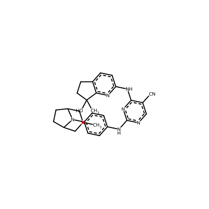 CN1CC2CCC(C1)N2c1ccc(Nc2ncc(C#N)c(Nc3ccc4c(n3)C(C)(O)CC4)n2)cc1